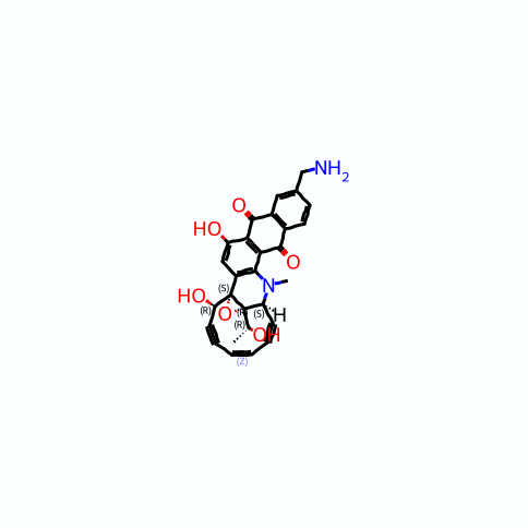 C[C@@H](O)[C@@]12O[C@]13c1cc(O)c4c(c1N(C)[C@H]2C#C/C=C\C#C[C@H]3O)C(=O)c1ccc(CN)cc1C4=O